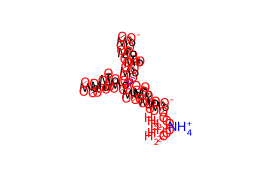 O.O.O.O.O.O.O=P([O][Mo](=[O])(=[O])[O][Mo](=[O])(=[O])[O][Mo](=[O])(=[O])[O][Mo](=[O])(=[O])[O-])([O][Mo](=[O])(=[O])[O][Mo](=[O])(=[O])[O][Mo](=[O])(=[O])[O][Mo](=[O])(=[O])[O-])[O][Mo](=[O])(=[O])[O][Mo](=[O])(=[O])[O][Mo](=[O])(=[O])[O][Mo](=[O])(=[O])[O-].[NH4+]